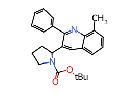 Cc1cccc2cc(C3CCCN3C(=O)OC(C)(C)C)c(-c3ccccc3)nc12